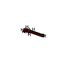 C#CCCC(=O)N[C@H](CCCCNC(=O)CC[C@@H](NC(=O)CCCCCCCCCCCCCCC)C(=O)O)C(=O)NCCOCCOCCOCCOCCOCCOCCOCCOCCOCCOCCOCCOCCC(=O)C(C)(C)CC